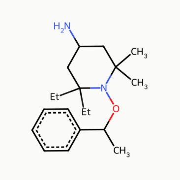 CCC1(CC)CC(N)CC(C)(C)N1OC(C)c1ccccc1